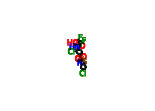 CC(O)(C(=O)Nc1ccc(S(=O)(=O)c2nc3cc(Cl)ccc3s2)cc1Cl)C(F)(F)F